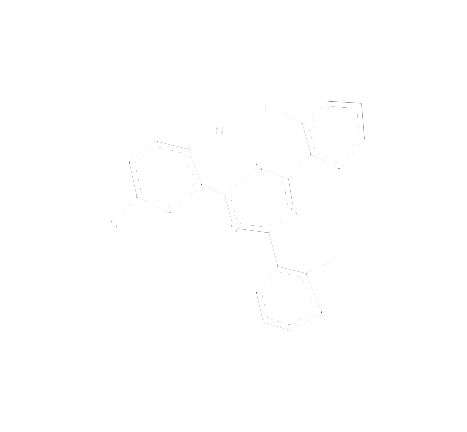 [C-]#[N+]c1ccc(C#N)c(-c2nc(-c3ccccc3O)nc(-c3ccccc3O)n2)c1